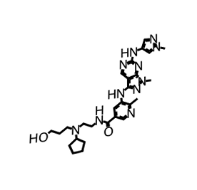 Cc1ncc(C(=O)NCCN(CCCO)C2CCCC2)cc1Nc1nn(C)c2nc(Nc3cnn(C)c3)ncc12